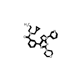 CCCN(CC1CC1)C(=O)c1cccc(-c2nc(N3CCOCC3)nc3c2CCN3c2cccnc2)c1